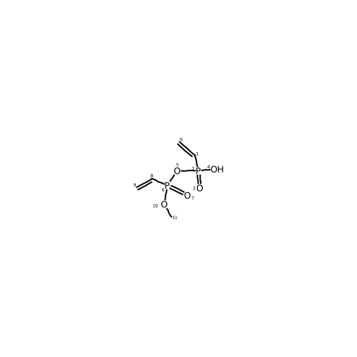 C=CP(=O)(O)OP(=O)(C=C)OC